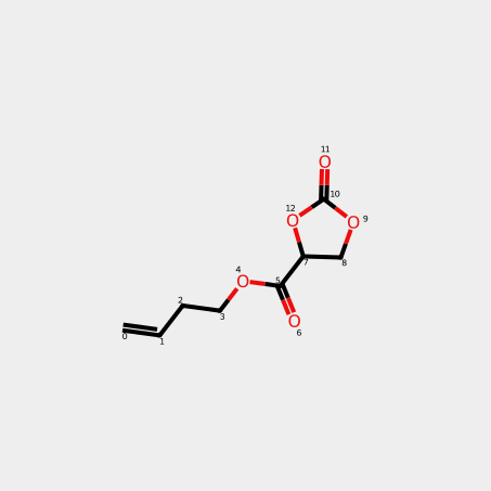 C=CCCOC(=O)C1COC(=O)O1